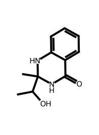 CC(O)C1(C)NC(=O)c2ccccc2N1